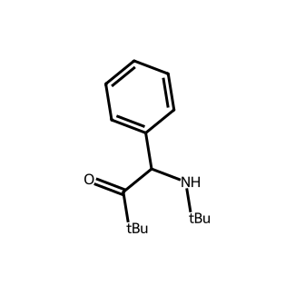 CC(C)(C)NC(C(=O)C(C)(C)C)c1ccccc1